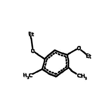 CCOc1cc(OCC)c(C)cc1C